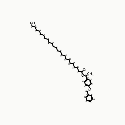 CCCCCCCCCCCCCCCCCCCCCCCCC(=O)OC(C)c1ccc(OCc2ccccc2)cc1